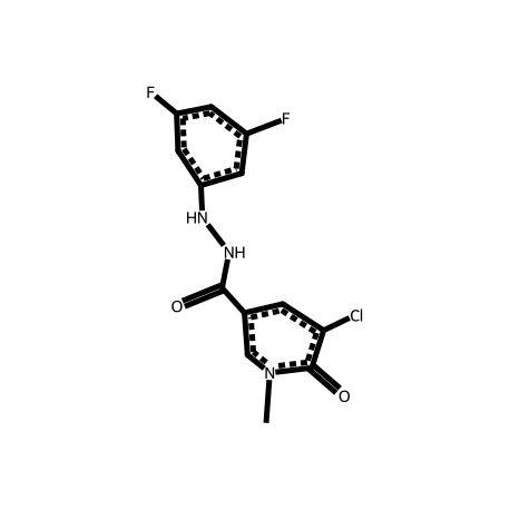 Cn1cc(C(=O)NNc2cc(F)cc(F)c2)cc(Cl)c1=O